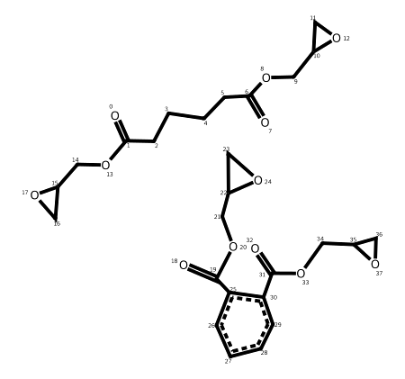 O=C(CCCCC(=O)OCC1CO1)OCC1CO1.O=C(OCC1CO1)c1ccccc1C(=O)OCC1CO1